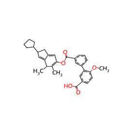 COc1ccc(C(=O)O)cc1-c1cccc(C(=O)OC2=C(C)C(C)C3=CC(C4CCCC4)CC3=C2)c1